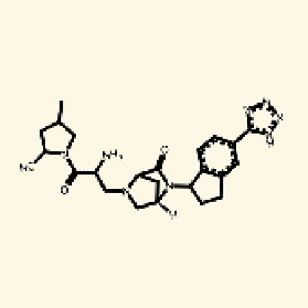 CC1CC(C#N)N(C(=O)C(N)CN2C[C@@H]3CC2C(=O)N3C2CCc3cc(-c4nnn[nH]4)ccc32)C1